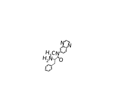 CN(C(=O)C(N)Cc1ccccc1)c1ccc2nccnc2c1